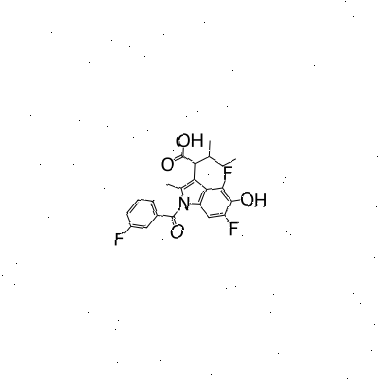 CCC(C)C(C(=O)O)c1c(C)n(C(=O)c2cccc(F)c2)c2cc(F)c(O)c(F)c12